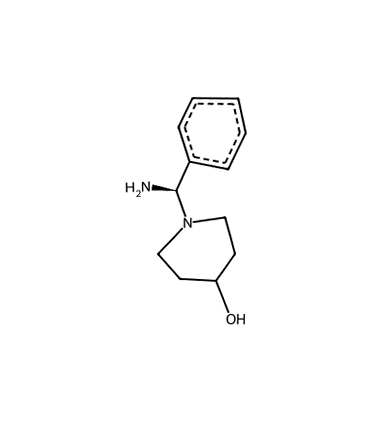 N[C@@H](c1ccccc1)N1CCC(O)CC1